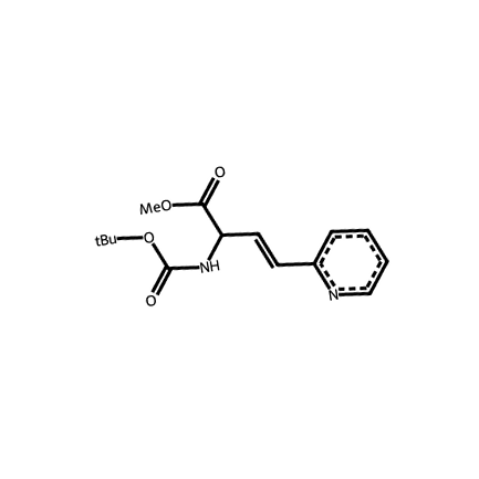 COC(=O)C(C=Cc1ccccn1)NC(=O)OC(C)(C)C